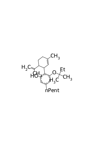 C=C(C)C1CCC(C)=CC1c1c(O)cc(CCCCC)cc1OC(C)(C)CC